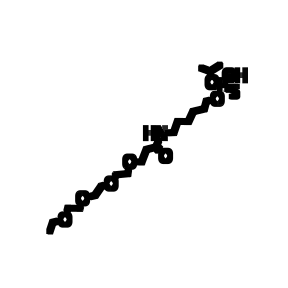 CCOCCOCCOCCOCCC(=O)NCCCCCCOP(O)(=S)OC(C)C